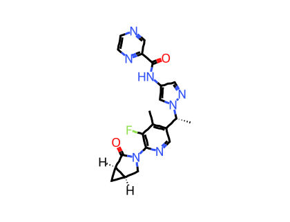 Cc1c([C@@H](C)n2cc(NC(=O)c3cnccn3)cn2)cnc(N2C[C@H]3C[C@H]3C2=O)c1F